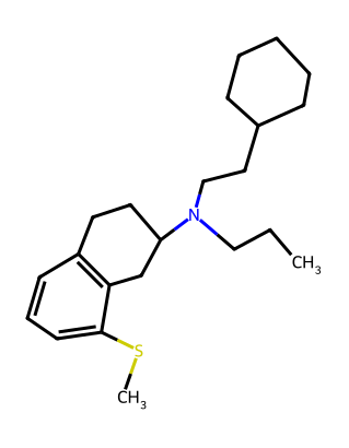 CCCN(CCC1CCCCC1)C1CCc2cccc(SC)c2C1